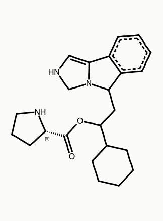 O=C(OC(CC1c2ccccc2C2=CNCN21)C1CCCCC1)[C@@H]1CCCN1